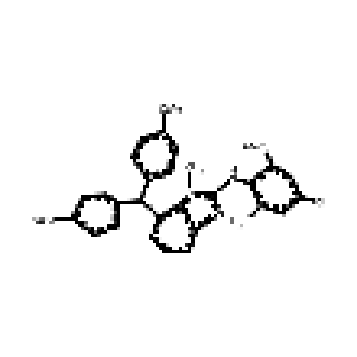 COc1ccc(C(c2ccc(OC)cc2)c2cccc3nc(Nc4c(C)cc(Cl)cc4OC)n(C)c23)cc1